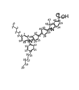 CCCCCCc1ccc(N(c2ccc(CCCCCC)cc2)c2ccc(-c3ccc(C4=Nc5ccc(C(=O)O)cc5C4(C)C)cc3)cc2)cc1